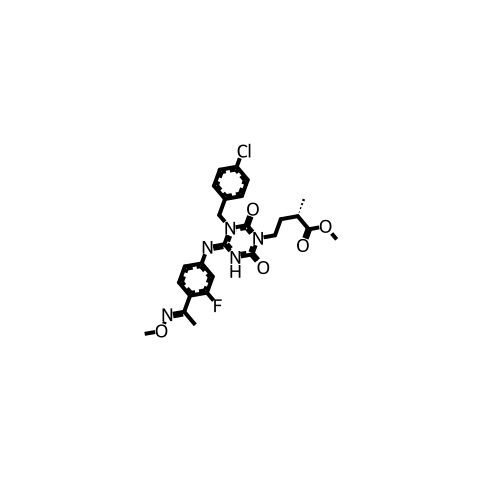 CO/N=C(\C)c1ccc(/N=c2\[nH]c(=O)n(CC[C@H](C)C(=O)OC)c(=O)n2Cc2ccc(Cl)cc2)cc1F